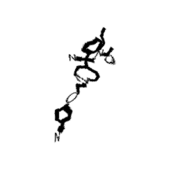 CCCCN(CC(C#N)(c1ccccc1)C1CCN(CCCOc2ccc(C#N)cc2)CC1)C(C)=O